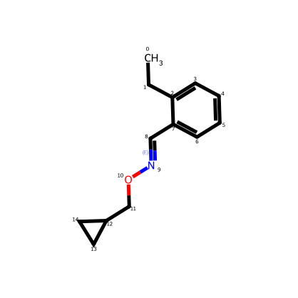 CCc1ccccc1/C=N/OCC1CC1